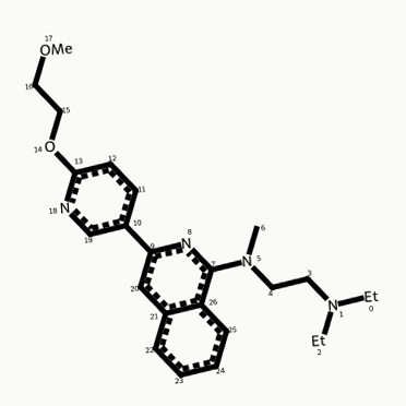 CCN(CC)CCN(C)c1nc(-c2ccc(OCCOC)nc2)cc2ccccc12